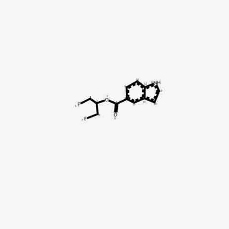 O=C(OC(CF)CF)c1ccc2[nH]ccc2c1